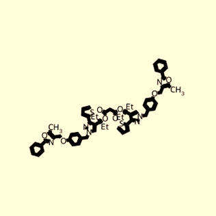 CCC(CC)(OC(=O)CC(=O)OC(CC)(CC)c1cn(Cc2ccc(OCc3nc(-c4ccccc4)oc3C)cc2)nc1-c1cccs1)c1cn(Cc2ccc(OCc3nc(-c4ccccc4)oc3C)cc2)nc1-c1cccs1